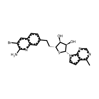 Cc1ncnc2c1ccn2[C@@H]1S[C@H](CCc2ccc3cc(Br)c(N)nc3c2)[C@@H](O)[C@H]1O